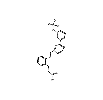 O=C(O)CCc1ccccc1OCc1ccnc(-c2cccc(OP(=O)(O)O)c2)n1